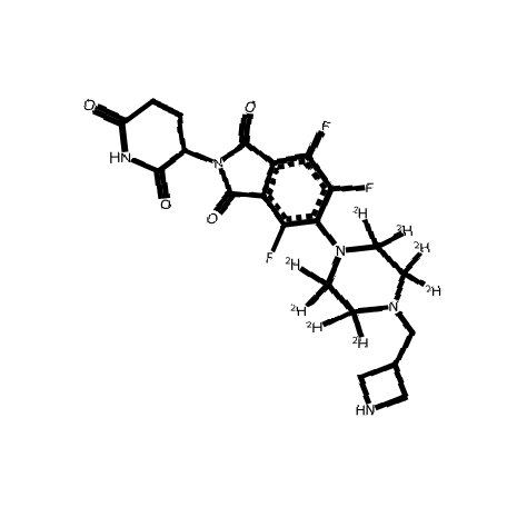 [2H]C1([2H])N(CC2CNC2)C([2H])([2H])C([2H])([2H])N(c2c(F)c(F)c3c(c2F)C(=O)N(C2CCC(=O)NC2=O)C3=O)C1([2H])[2H]